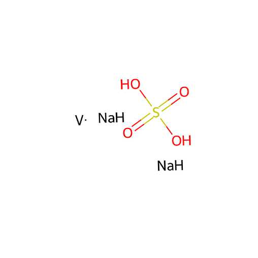 O=S(=O)(O)O.[NaH].[NaH].[V]